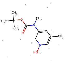 CC1=CN(O)CC(N(C)C(=O)OC(C)(C)C)=C1